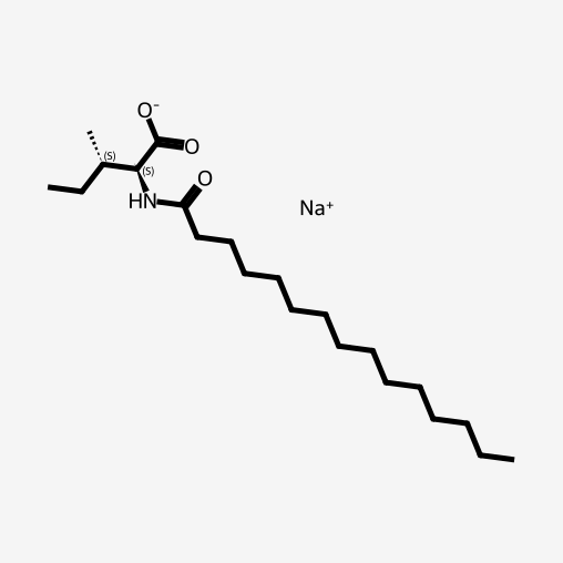 CCCCCCCCCCCCCCC(=O)N[C@H](C(=O)[O-])[C@@H](C)CC.[Na+]